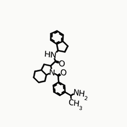 CC(N)c1cccc(C(=O)N2C(C(=O)NC3CCc4ccccc43)CC3CCCCC32)c1